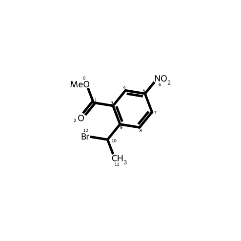 COC(=O)c1cc([N+](=O)[O-])ccc1C(C)Br